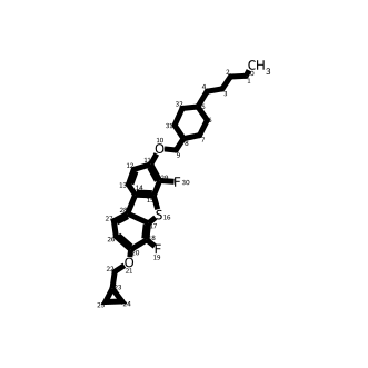 CCCCCC1CCC(COc2ccc3c(sc4c(F)c(OCC5CC5)ccc43)c2F)CC1